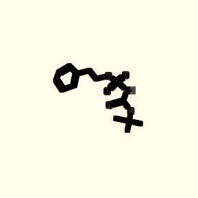 CC(C)(C)OC(=O)NS(=O)(=O)OCCc1ccccc1